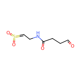 O=CCCC(=O)NCC=S(=O)=O